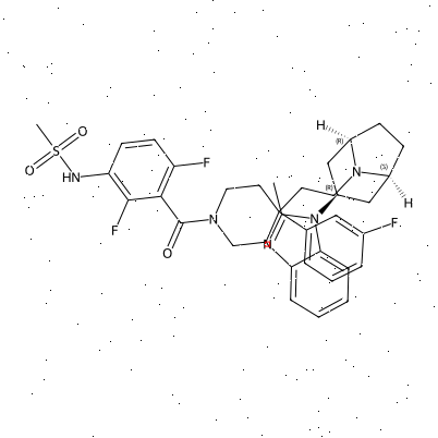 Cc1nc2ccccc2n1[C@H]1C[C@H]2CC[C@@H](C1)N2CCC1(c2cccc(F)c2)CCN(C(=O)c2c(F)ccc(NS(C)(=O)=O)c2F)CC1